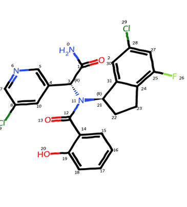 NC(=O)[C@@H](c1cncc(Cl)c1)N(C(=O)c1ccccc1O)[C@@H]1CCc2c(F)cc(Cl)cc21